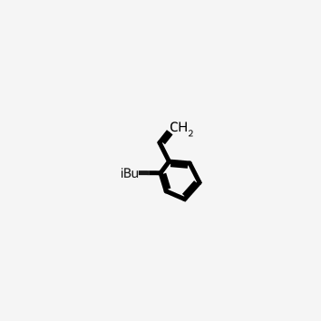 C=Cc1ccccc1C(C)CC